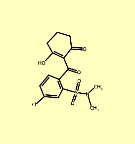 CN(C)S(=O)(=O)c1cc(Cl)ccc1C(=O)C1=C(O)CCCC1=O